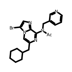 CC(=O)N(Cc1cccnc1)c1nc(CC2CCCCC2)cn2c(Br)cnc12